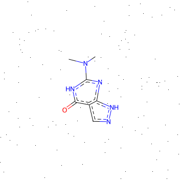 CN(C)c1nc2[nH]ncc2c(=O)[nH]1